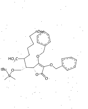 CCCCCCCCCCCCCCC(C(=O)O)[C@@H](CO[Si](C)(C)C(C)(C)C)[C@H]1OC(=O)C(OCc2ccccc2)=C1OCc1ccccc1